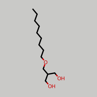 CCCCCCCCCOCC(CO)CO